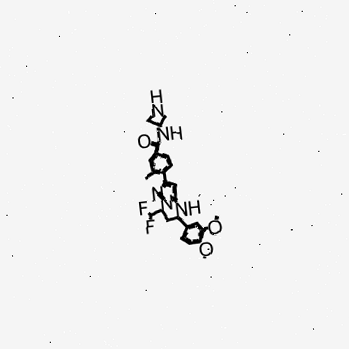 COc1ccc(C2CC(C(F)F)n3nc(-c4ccc(C(=O)NC5CNC5)cc4C)cc3N2)cc1OC